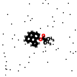 C=C(C)C(=O)OC1C=Cc2ccc3cccc4c5c(c1c2c34)C=CC=5